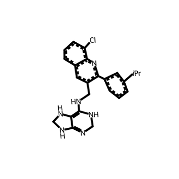 CC(C)c1cccc(-c2nc3c(Cl)cccc3cc2CNC2=C3NCNC3=NCN2)c1